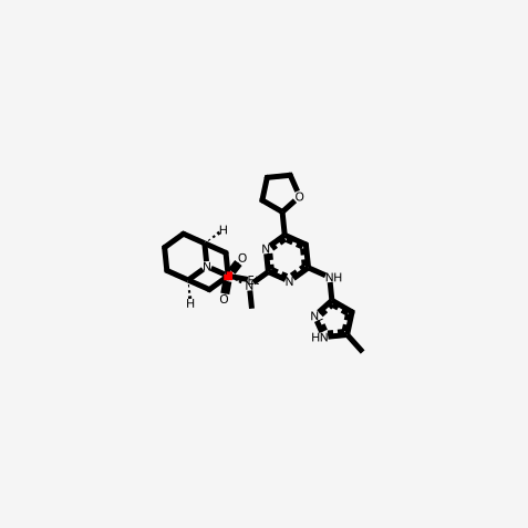 CCS(=O)(=O)N1[C@@H]2CCC[C@H]1C[C@H](N(C)c1nc(Nc3cc(C)[nH]n3)cc(C3CCCO3)n1)C2